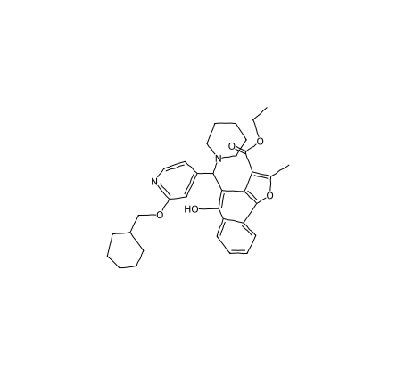 CCOC(=O)c1c(C)oc2c1c(C(c1ccnc(OCC3CCCCC3)c1)N1CCCCC1)c(O)c1ccccc12